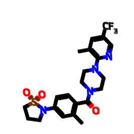 Cc1cc(N2CCCS2(=O)=O)ccc1C(=O)N1CCN(c2ncc(C(F)(F)F)cc2C)CC1